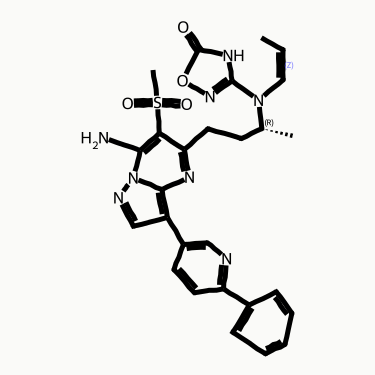 C/C=C\N(c1noc(=O)[nH]1)[C@H](C)CCc1nc2c(-c3ccc(-c4ccccc4)nc3)cnn2c(N)c1S(C)(=O)=O